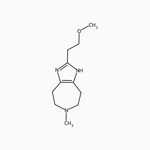 COCCc1nc2c([nH]1)CCN(C)CC2